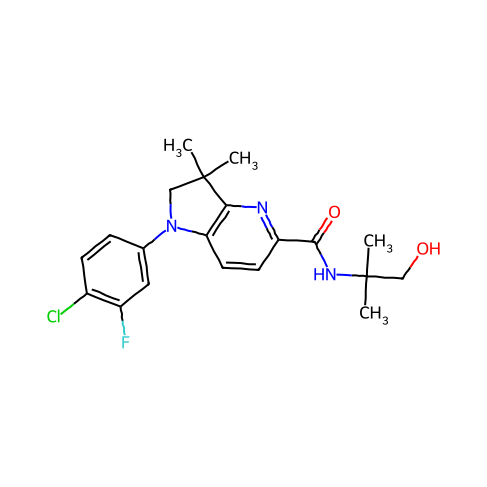 CC(C)(CO)NC(=O)c1ccc2c(n1)C(C)(C)CN2c1ccc(Cl)c(F)c1